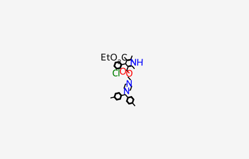 CCOC(=O)C1=C(C)NC(C)=C(C(=O)OCCN2CCN(C(c3ccc(C)cc3)c3ccc(C)cc3)CC2)C1c1cccc(Cl)c1